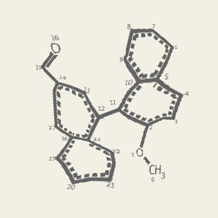 COc1ccc2ccccc2c1-c1cc(C=O)cc2ccccc12